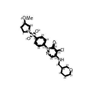 COC1CCN(S(=O)(=O)c2ccc(-n3ncc(NCC4CCCOC4)c(Cl)c3=O)cc2)C1